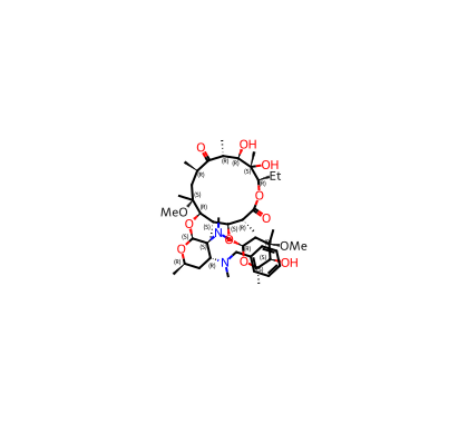 CC[C@H]1OC(=O)[C@H](C)[C@@H](O[C@H]2C[C@@](C)(OC)[C@@H](O)[C@H](C)O2)[C@H](C)[C@@H](O[C@@H]2O[C@H](C)C[C@@H](N(C)Cc3ccccc3)[C@@H]2N(C)C)[C@@](C)(OC)C[C@@H](C)C(=O)[C@H](C)[C@@H](O)[C@]1(C)O